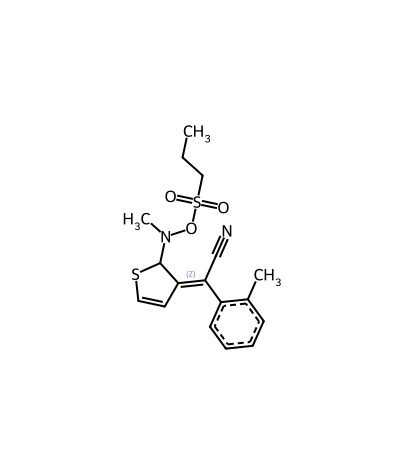 CCCS(=O)(=O)ON(C)C1SC=C/C1=C(/C#N)c1ccccc1C